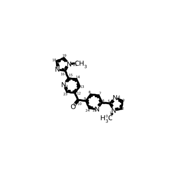 Cn1ccnc1-c1ccc(C(=O)c2ccc(-c3nccn3C)nc2)cn1